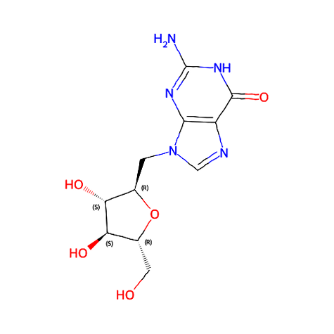 Nc1nc2c(ncn2C[C@H]2O[C@H](CO)[C@@H](O)[C@@H]2O)c(=O)[nH]1